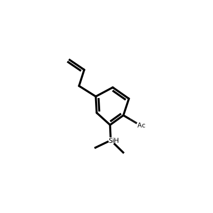 C=CCc1ccc(C(C)=O)c([SiH](C)C)c1